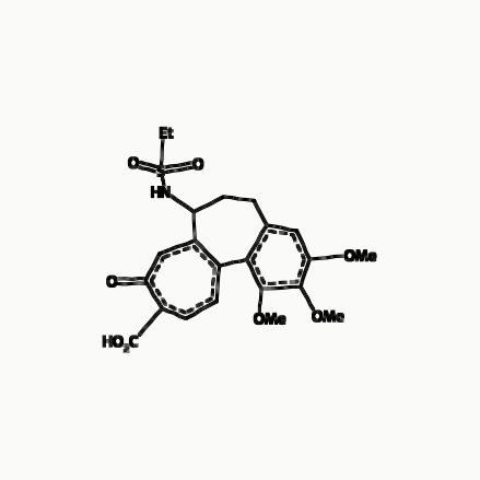 CCS(=O)(=O)NC1CCc2cc(OC)c(OC)c(OC)c2-c2ccc(C(=O)O)c(=O)cc21